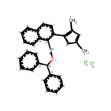 CC1=CC(C)=C(c2ccc3ccccc3[c]2[Ti+2][O]C(c2ccccc2)c2ccccc2)C1.[Cl-].[Cl-]